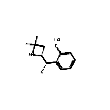 CC1(C)C[C@@H]([C@@H](O)c2ccccc2F)N1.Cl